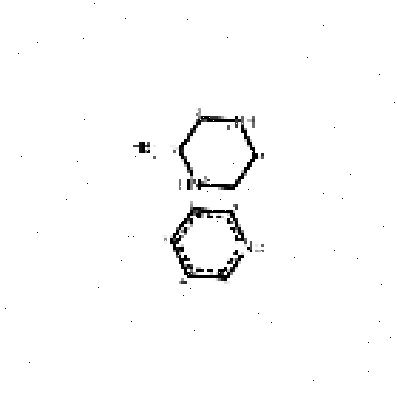 Br.C1CNCCN1.c1ccncc1